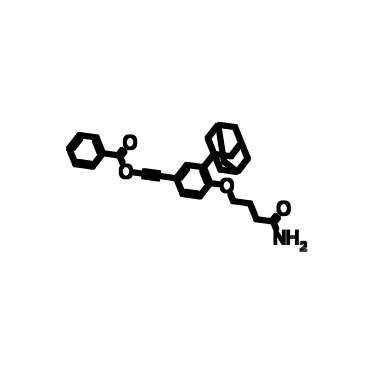 NC(=O)CCCOc1ccc(C#COC(=O)c2ccccc2)cc1C12CC3CC(CC(C3)C1)C2